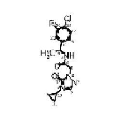 C[C@H](NC(=O)Cn1ncn(C2CC2)c1=O)c1ccc(Cl)c(F)c1